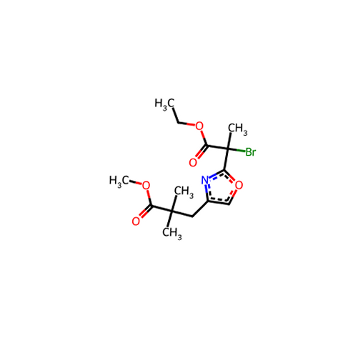 CCOC(=O)C(C)(Br)c1nc(CC(C)(C)C(=O)OC)co1